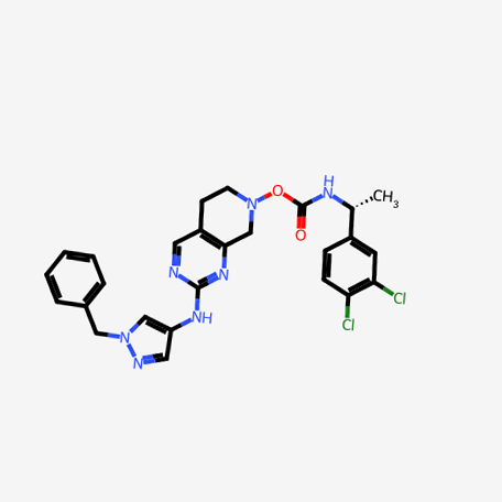 C[C@@H](NC(=O)ON1CCc2cnc(Nc3cnn(Cc4ccccc4)c3)nc2C1)c1ccc(Cl)c(Cl)c1